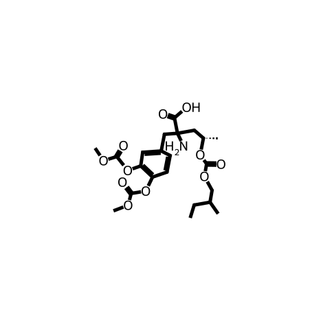 CCC(C)COC(=O)O[C@@H](C)CC(N)(Cc1ccc(OC(=O)OC)c(OC(=O)OC)c1)C(=O)O